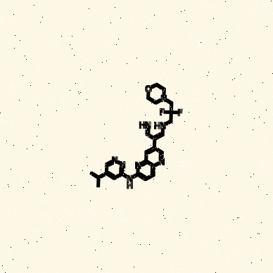 CC(C)c1cnnc(Nc2ccc3ncc(/C(C=N)=C/NCC(F)(F)CN4CCOCC4)cc3n2)c1